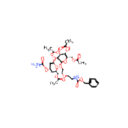 CC(=O)OC[C@H]1[CH][C@H](OC(N)=O)[CH][C@@H](O[C@@H]2[C@H](OCCOCCNC(=O)OCc3ccccc3)O[C@@H](COC(C)=O)[C@@H](OC(C)=O)[C@@H]2OC(C)=O)O1